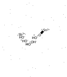 [OH-].[OH-].[OH-].[OH-].[OH-].[O]=[Sn+2].[Sb+3]